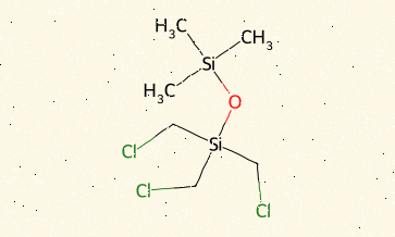 C[Si](C)(C)O[Si](CCl)(CCl)CCl